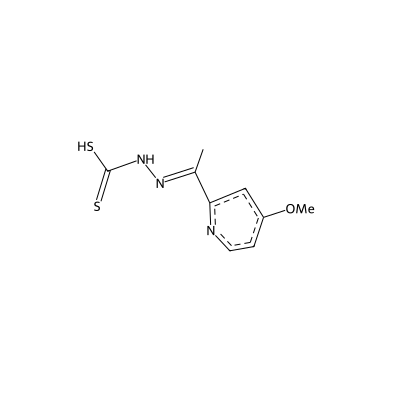 COc1ccnc(/C(C)=N/NC(=S)S)c1